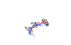 COc1cc2c(cc1OCCCC(O)Nc1cc(C(=O)Nc3ccc(-c4cc(C(=O)Nc5ccc(N)cc5)n(C)c4)cc3)n(C)c1)N=C[C@@H]1CCCCN1C2=O